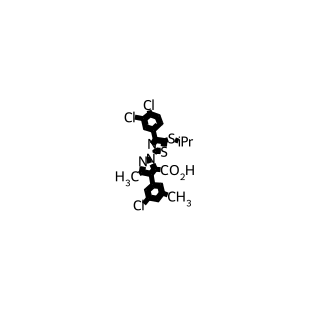 Cc1cc(Cl)cc(-c2c(C)nn(-c3nc(-c4ccc(Cl)c(Cl)c4)c(SC(C)C)s3)c2C(=O)O)c1